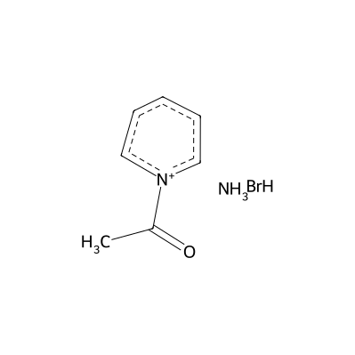 Br.CC(=O)[n+]1ccccc1.N